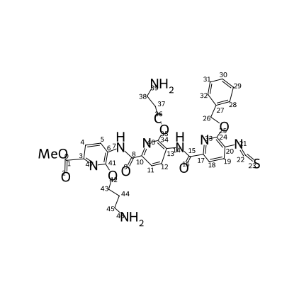 COC(=O)c1ccc(NC(=O)c2ccc(NC(=O)c3ccc(N=C=S)c(OCc4ccccc4)n3)c(OCCCN)n2)c(OCCCN)n1